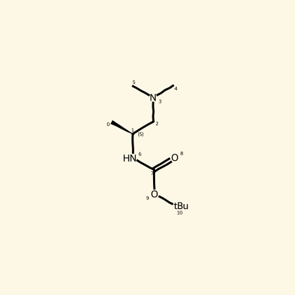 C[C@@H](CN(C)C)NC(=O)OC(C)(C)C